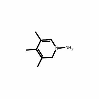 CC1=CN(N)CC(C)=C1C